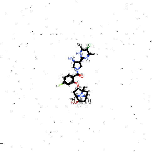 CCC1=C(Cl)C(C)=N/C(=C2\CN(C(=O)c3ccc(F)cc3O[C@@H]3C[C@H]4N5[C@@H](CC35C)C[C@@]4(C)O)CC2=N)N1